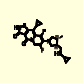 C[C@H]1CN(c2c(F)cn3c(=O)c4c(=O)[nH]sc4c(C4CC4)c3c2F)C[C@@H]1CNC1CC1